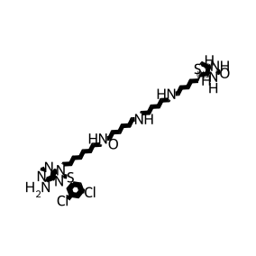 Nc1ncnc2c1nc(Sc1cc(Cl)cc(Cl)c1)n2CCCCCCCCNC(=O)CCCCCNCCCCCCNCCCCC[C@H]1SC[C@@H]2NC(=O)N[C@@H]21